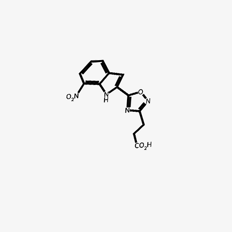 O=C(O)CCc1noc(-c2cc3cccc([N+](=O)[O-])c3[nH]2)n1